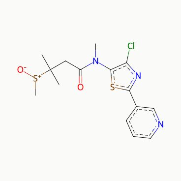 CN(C(=O)CC(C)(C)[S+](C)[O-])c1sc(-c2cccnc2)nc1Cl